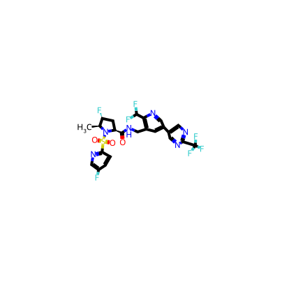 C[C@H]1[C@H](F)C[C@@H](C(=O)NCc2cc(-c3cnc(C(F)(F)F)nc3)cnc2C(F)F)N1S(=O)(=O)c1ccc(F)cn1